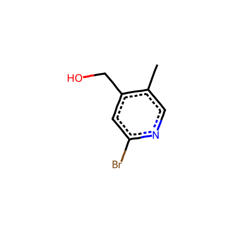 Cc1cnc(Br)cc1CO